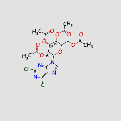 CC(=O)OCC1OC(n2cnc3c(Cl)nc(Cl)nc32)[C@H](OC(C)=O)[C@@H](OC(C)=O)[C@@H]1OC(C)=O